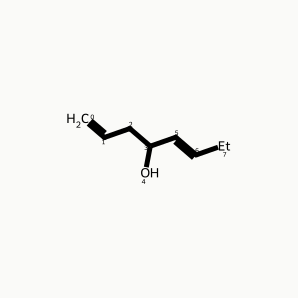 C=CCC(O)C=CCC